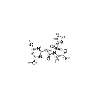 COc1cc(OC)nc(NC(=O)N(C(F)=C(F)Cl)S(=O)(=O)c2cccs2)n1